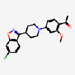 COc1cc(N2CCC(c3noc4cc(Cl)ccc34)CC2)ccc1C(C)=O